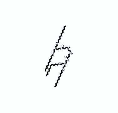 CCCCCCCCCCCOCCN(CCOCCCCCCCCCCC)CCOC(=O)CCN(C)CCN(C)CCC(=O)OCCN(CCOCCCCCCCCCCC)CCOCCCCCCCCCCC